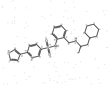 CC(CC1CCCCC1)NCc1ccccc1NS(=O)(=O)c1ccc(-c2ccoc2)nc1